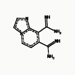 N=C(N)c1ccn2ccnc2c1C(=N)N